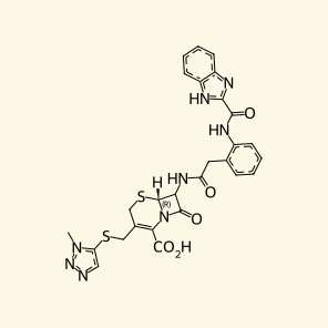 Cn1nncc1SCC1=C(C(=O)O)N2C(=O)C(NC(=O)Cc3ccccc3NC(=O)c3nc4ccccc4[nH]3)[C@H]2SC1